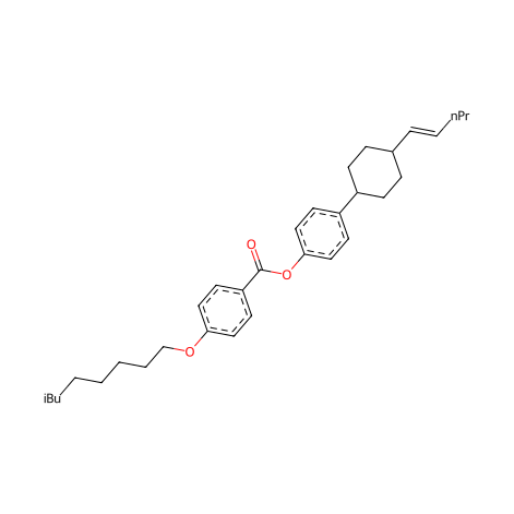 CCCC=CC1CCC(c2ccc(OC(=O)c3ccc(OCCCCCC(C)CC)cc3)cc2)CC1